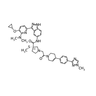 CS[C@@]1(C(=O)Nc2ccc3[nH]nc(-c4ccc(OC5CC5)c(N(C)C)n4)c3c2)CCN(CC(=O)N2CC=C(c3ccc(-c4ncn(C)n4)cc3)CC2)C1